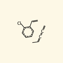 C=C=C=CC.C=Cc1ccccc1Cl